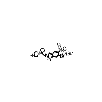 CN1CCN(C(=O)Cn2cc3cc(NC(=O)OC(C)(C)C)c(Br)cc3n2)CC1